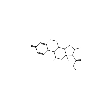 CC1CC2C3CCC4=CC(=O)C=C[C@]4(C)C3C(O)CC2(C)C1C(=O)CCl